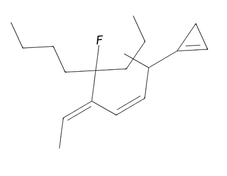 C/C=C(\C=C/C(C)C1=CC1)C(F)(CCC)CCCC